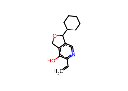 C=Cc1ncc2c(c1O)COC2C1CCCCC1